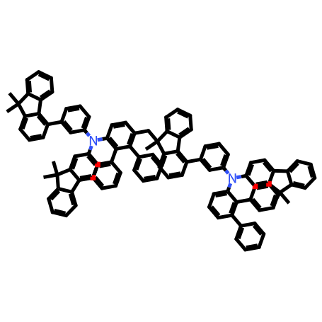 CC1(C)c2ccccc2-c2ccc(N(c3cccc(-c4cccc5c4-c4ccccc4C5(C)Cc4ccc(N(c5cccc(-c6cccc7c6-c6ccccc6C7(C)C)c5)c5ccc6c(c5)C(C)(C)c5ccccc5-6)c(-c5ccccc5)c4-c4ccccc4)c3)c3cccc(-c4ccccc4)c3-c3ccccc3)cc21